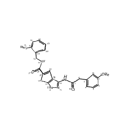 COc1cccc(CC(=O)Nc2n[nH]c3sc(C(=O)NCc4ccccc4OC)cc23)c1